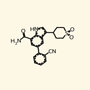 N#Cc1ccccc1-c1cc(C(N)=O)c2[nH]cc(C3CCS(=O)(=O)CC3)c2c1